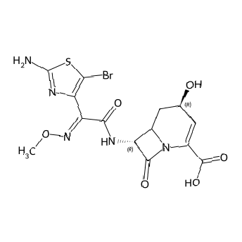 CON=C(C(=O)N[C@H]1C(=O)N2C(C(=O)O)=C[C@H](O)CC12)c1nc(N)sc1Br